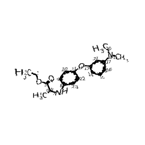 CCOC(=O)[C@H](C)Nc1ccc(Oc2cccc(N(C)C)c2)cc1